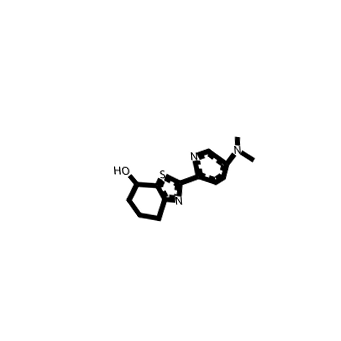 CN(C)c1ccc(-c2nc3c(s2)C(O)CCC3)nc1